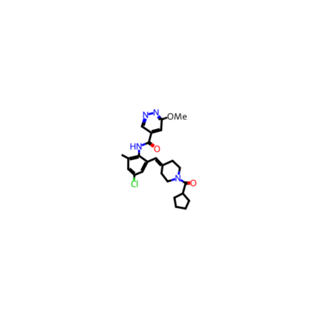 COc1cc(C(=O)Nc2c(C)cc(Cl)cc2C=C2CCN(C(=O)C3CCCC3)CC2)cnn1